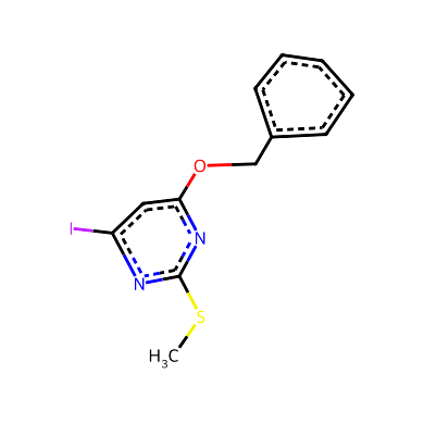 CSc1nc(I)cc(OCc2ccccc2)n1